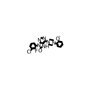 COc1ccccc1N1CCN(c2ncnc3c2[nH]c(=O)n3-c2cccc(Cl)c2F)CC1